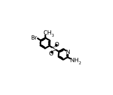 Cc1cc(S(=O)(=O)c2ccc(N)nc2)ccc1Br